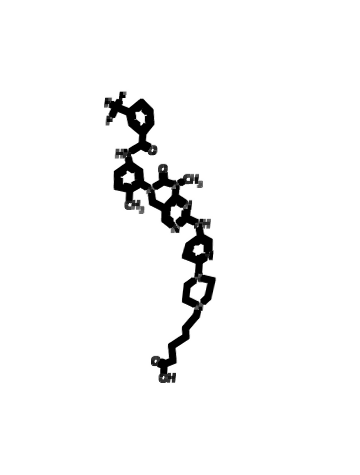 Cc1ccc(NC(=O)c2cccc(C(F)(F)F)c2)cc1N1Cc2cnc(Nc3ccc(N4CCN(CCCCCC(=O)O)CC4)nc3)nc2N(C)C1=O